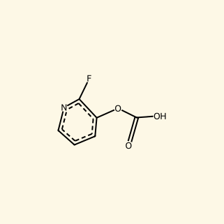 O=C(O)Oc1cccnc1F